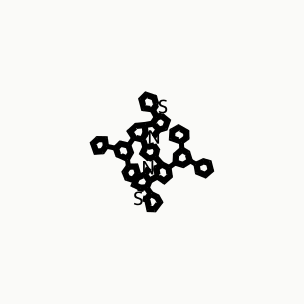 c1ccc(-c2cc(-c3ccccc3)cc(-c3ccc4c5c6c(ccc5n5c7cc8c9c(-c%10cc(-c%11ccccc%11)cc(-c%11ccccc%11)c%10)ccc%10c%11c%12c(ccc%11n(c8cc7c3c45)c%109)sc3ccccc3%12)sc3ccccc36)c2)cc1